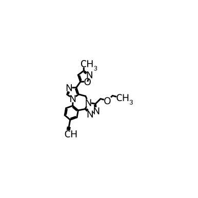 C#Cc1ccc2c(c1)-c1nnc(COCC)n1Cc1c(-c3cc(C)no3)ncn1-2